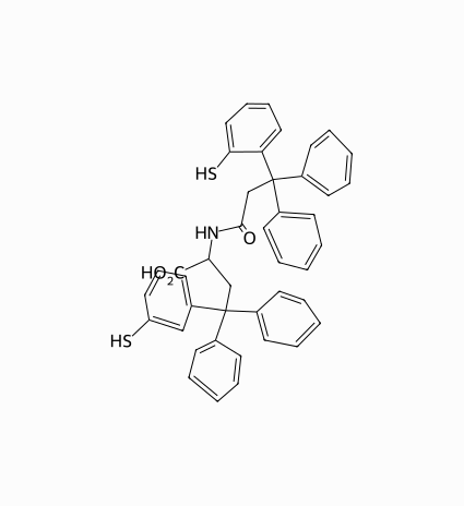 O=C(CC(c1ccccc1)(c1ccccc1)c1ccccc1S)NC(CC(c1ccccc1)(c1ccccc1)c1cccc(S)c1)C(=O)O